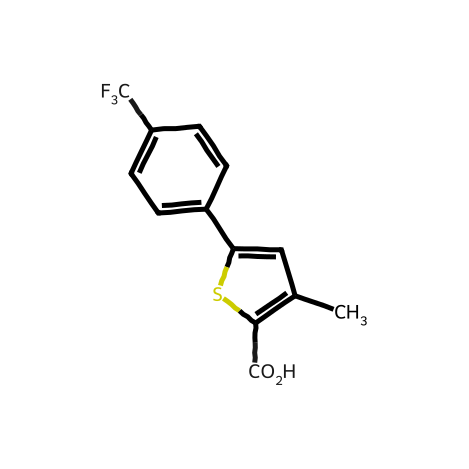 Cc1cc(-c2ccc(C(F)(F)F)cc2)sc1C(=O)O